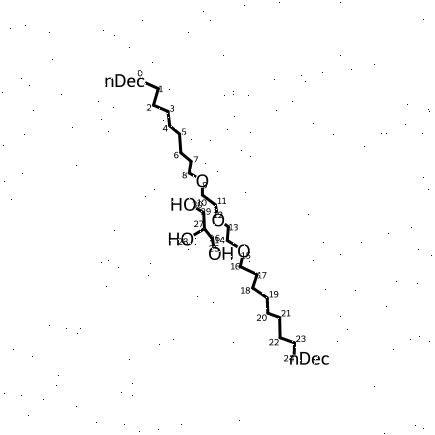 CCCCCCCCCCCCCCCCCCOCCOCCOCCCCCCCCCCCCCCCCCC.OCC(O)CO